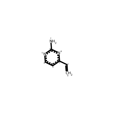 C=Cc1ccnc(N)n1